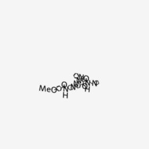 COc1ccc(C(=O)NC2CCN(c3ccc4c(=O)c(C(=O)NCCN5CCCC5)c5n(C)c6ccccc6n5c4n3)CC2)cc1